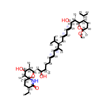 CC[C@H]1C[C@H](C)[C@@]2(NC1=O)O[C@@H](C[C@H](O)[C@@H](C)CC/C=C/C=C(\C)[C@H](C/C=C/C=C/[C@H](O)[C@H](C)[C@H]1O[C@](C)(OC)CC[C@H]1C(C)C)C(C)C)[C@H](C)[C@H](O)[C@@H]2C